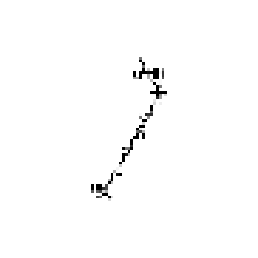 CCC(=O)NCC(F)C(C)(C)OCCOCCOCCOCCOCCNC(C)C